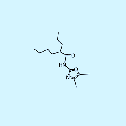 CCCCC(CCC)C(=O)Nc1nc(C)c(C)o1